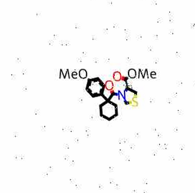 COC(=O)[C@H]1CSCN1C(=O)C1(c2ccc(OC)cc2)CCCCC1